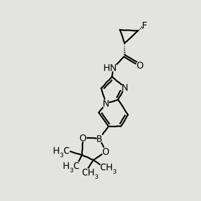 CC1(C)OB(c2ccc3nc(NC(=O)[C@@H]4C[C@@H]4F)cn3c2)OC1(C)C